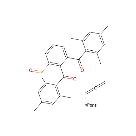 C=C=CCCCCC.Cc1cc(C)c(C(=O)c2cccc(P=O)c2C(=O)c2c(C)cc(C)cc2C)c(C)c1